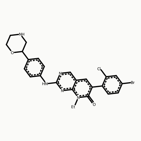 CCn1c(=O)c(-c2ccc(Br)cc2Cl)cc2cnc(Nc3ccc(C4CNCCO4)cc3)nc21